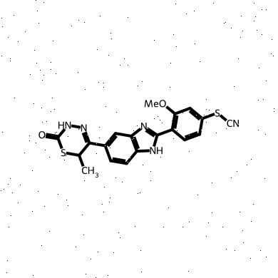 COc1cc(SC#N)ccc1-c1nc2cc(C3=NNC(=O)SC3C)ccc2[nH]1